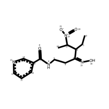 CCC(/C(CCNC(=O)c1cccnc1)=N\O)C(C)[N+](=O)[O-]